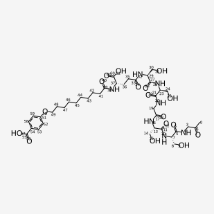 CC(=O)CNC(=O)[C@H](CO)NC(=O)[C@H](CO)NC(=O)CNC(=O)[C@H](CO)NC(=O)[C@H](CO)NC(=O)CC[C@H](NC(=O)CCCCCCCCCOc1ccc(C(=O)O)cc1)C(=O)O